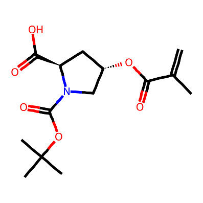 C=C(C)C(=O)O[C@H]1C[C@H](C(=O)O)N(C(=O)OC(C)(C)C)C1